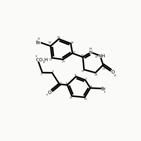 O=C(O)CCC(=O)c1ccc(Br)cc1.O=C1CCC(c2ccc(Br)cc2)=NN1